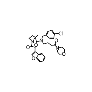 CC1(C(=O)N(CCCC(=O)N2CCOCC2)Cc2ccc(Cl)cc2)CCN1C(=O)Cc1coc2ccccc12